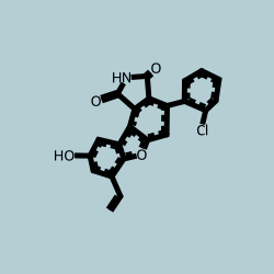 C=Cc1cc(O)cc2c1oc1cc(-c3ccccc3Cl)c3c(c12)C(=O)NC3=O